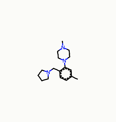 Cc1ccc(CN2CCCC2)c(N2CCN(C)CC2)c1